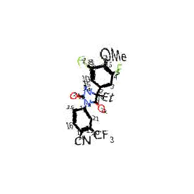 CCC1(c2cc(F)c(OC)c(F)c2)C(=O)N(c2ccc(C#N)c(C(F)(F)F)c2)C(=O)N1C